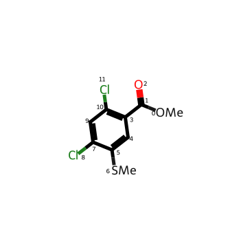 COC(=O)c1cc(SC)c(Cl)cc1Cl